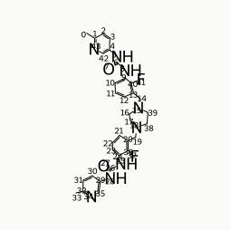 Cc1ccc(NC(=O)Nc2cccc(CN3CCN(Cc4cccc(NC(=O)Nc5ccc(C)nc5)c4F)CC3)c2F)cn1